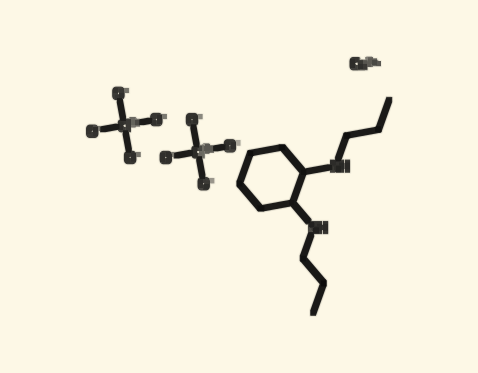 CCCNC1CCCCC1NCCC.[Cu+2].[O-][Cl+3]([O-])([O-])[O-].[O-][Cl+3]([O-])([O-])[O-]